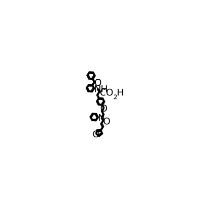 O=C(c1ccccc1)c1ccccc1NC(Cc1ccc(OCCN(C(=O)C=Cc2ccoc2)c2ccccc2)cc1)C(=O)O